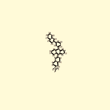 C[Si](C)(C)c1ccc2cc(-c3c4ccccc4c(-c4cccc(-c5ccc6ccccc6c5)c4)c4ccccc34)ccc2c1